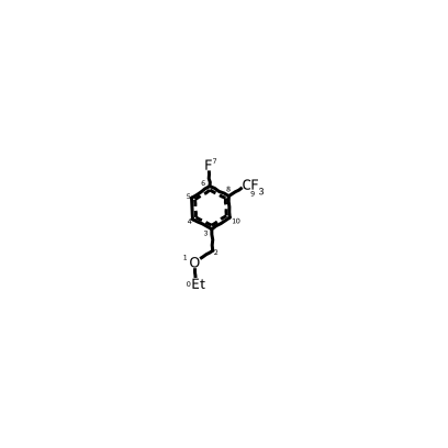 [CH2]COCc1ccc(F)c(C(F)(F)F)c1